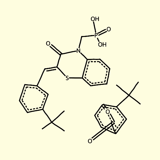 CC(C)(C)c1cc2ccc1oc2=O.CC(C)(C)c1cccc(C=C2Sc3ccccc3N(CP(=O)(O)O)C2=O)c1